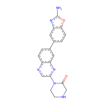 Nc1nc2cc(-c3ccc4ncc(N5CCNCC5=O)nc4c3)ccc2o1